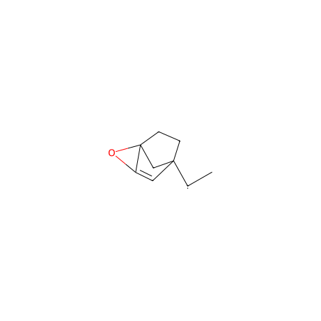 C[CH]C12C=C3OC3(CC1)C2